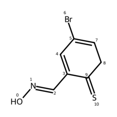 ON=CC1=CC(Br)=CCC1=S